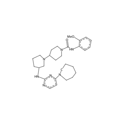 COc1ccccc1NC(=O)N1CCC(N2CCCC(Nc3nccc(N4CCCCCC4)n3)C2)CC1